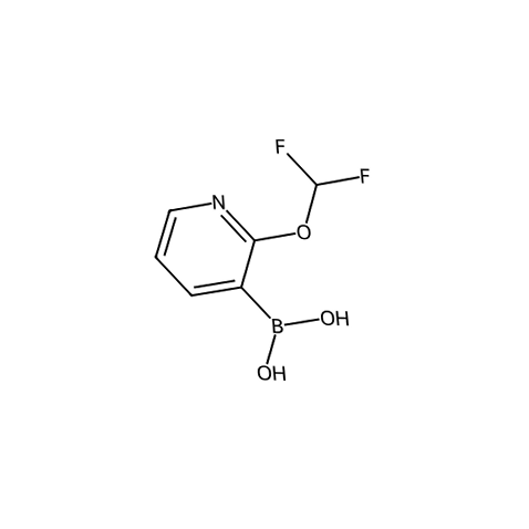 OB(O)c1cccnc1OC(F)F